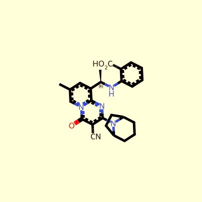 Cc1cc([C@@H](C)Nc2ccccc2C(=O)O)c2nc(N3C4CCCC3CC4)c(C#N)c(=O)n2c1